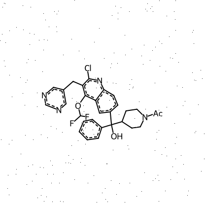 CC(=O)N1CCC(C(O)(c2ccccc2)c2ccc3nc(Cl)c(Cc4cncnc4)c(OC(F)F)c3c2)CC1